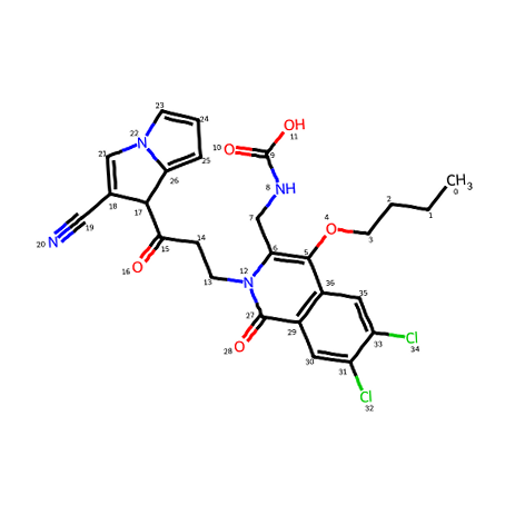 CCCCOc1c(CNC(=O)O)n(CCC(=O)C2C(C#N)=Cn3cccc32)c(=O)c2cc(Cl)c(Cl)cc12